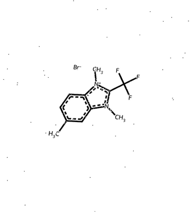 Cc1ccc2c(c1)n(C)c(C(F)(F)F)[n+]2C.[Br-]